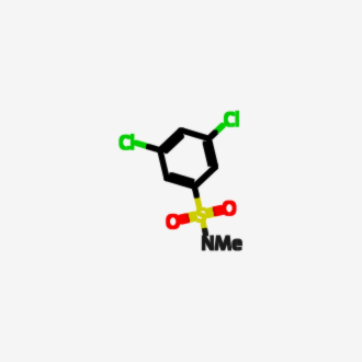 CNS(=O)(=O)c1cc(Cl)cc(Cl)c1